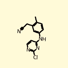 Cc1ccc(Nc2ccnc(Cl)n2)cc1CC#N